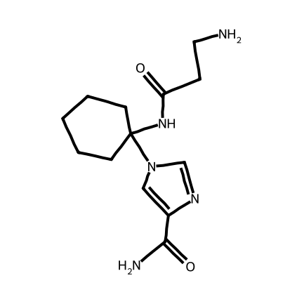 NCCC(=O)NC1(n2cnc(C(N)=O)c2)CCCCC1